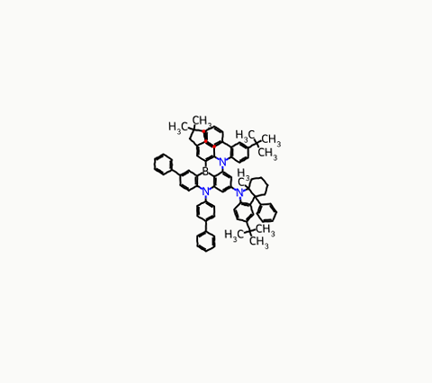 CC1(C)Cc2cc3c(cc2C1)N(c1ccc(C(C)(C)C)cc1-c1ccccc1)c1cc(N2c4ccc(C(C)(C)C)cc4C4(c5ccccc5)CCCCC24C)cc2c1B3c1cc(-c3ccccc3)ccc1N2c1ccc(-c2ccccc2)cc1